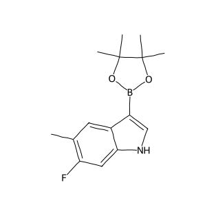 Cc1cc2c(B3OC(C)(C)C(C)(C)O3)c[nH]c2cc1F